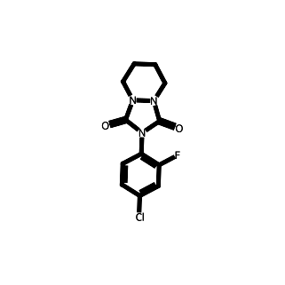 O=c1n(-c2ccc(Cl)cc2F)c(=O)n2n1CCCC2